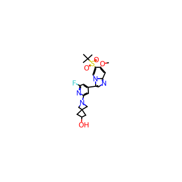 COc1cc2ncc(-c3cc(F)nc(N4CC5(CC(O)C5)C4)c3)n2cc1S(=O)(=O)C(C)(C)C